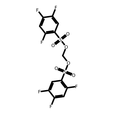 O=S(=O)(OCOS(=O)(=O)c1cc(F)c(F)cc1F)c1cc(F)c(F)cc1F